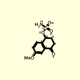 COc1ccc2c(c1)C(=O)CCC2OS(N)(=O)=O